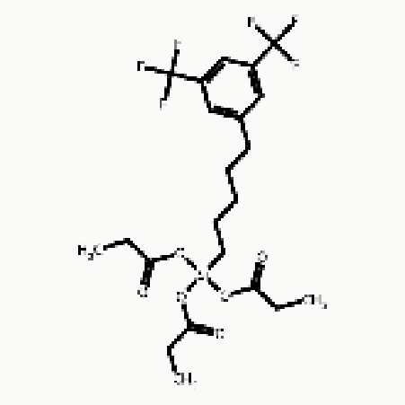 CCC(=O)O[Si](CCCCCc1cc(C(F)(F)F)cc(C(F)(F)F)c1)(OC(=O)CC)OC(=O)CC